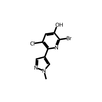 Cn1cc(-c2nc(Br)c(O)cc2Cl)cn1